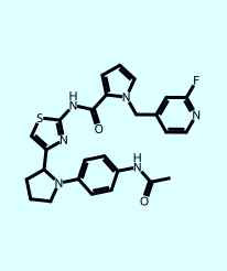 CC(=O)Nc1ccc(N2CCCC2c2csc(NC(=O)c3cccn3Cc3ccnc(F)c3)n2)cc1